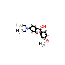 CCN(CC)c1ccc(C(O)c2ccc(OC)cc2)c(O)c1